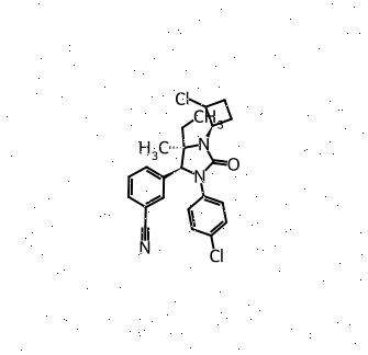 CC[C@]1(C)[C@H](c2cccc(C#N)c2)N(c2ccc(Cl)cc2)C(=O)N1[C@@H]1CCC1Cl